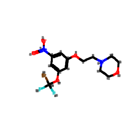 O=[N+]([O-])c1cc(OCCN2CCOCC2)cc(OC(F)(F)Br)c1